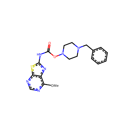 COc1ncnc2sc(NC(=O)ON3CCN(Cc4ccccc4)CC3)nc12